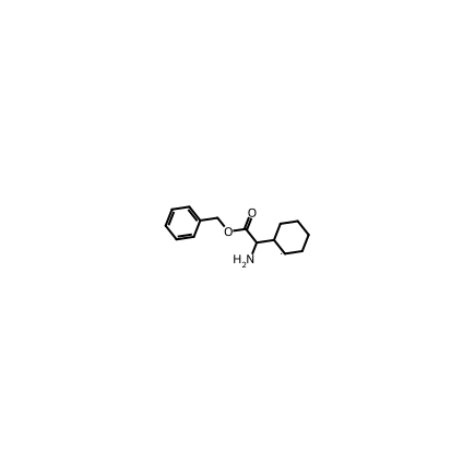 NC(C(=O)OCc1ccccc1)C1[CH]CCCC1